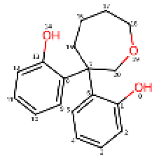 Oc1ccccc1C1(c2ccccc2O)CCCCOC1